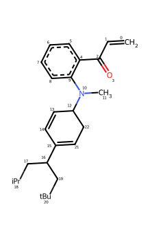 C=CC(=O)c1ccccc1N(C)C1C=CC(C(CC(C)C)CC(C)(C)C)=CC1